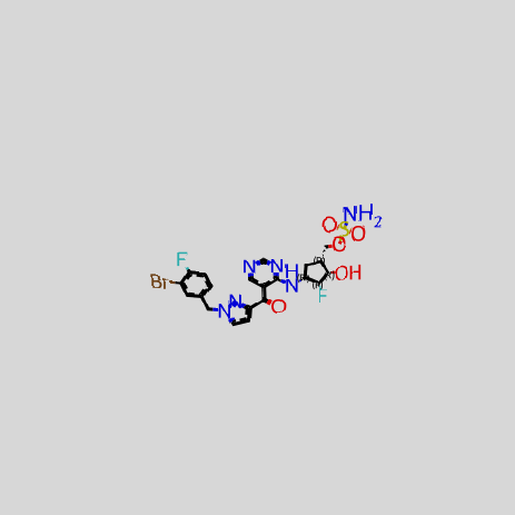 NS(=O)(=O)OC[C@H]1C[C@@H](Nc2ncncc2C(=O)c2ccn(Cc3ccc(F)c(Br)c3)n2)[C@@H](F)[C@@H]1O